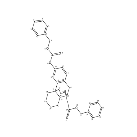 O=C(OCc1ccccc1)Oc1ccc2c(c1)C13CCCCC1C(C2)N(C(=O)OCc1ccccc1)CC3